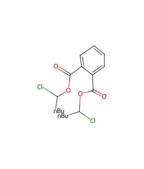 CCCCC(Cl)OC(=O)c1ccccc1C(=O)OC(Cl)CCCC